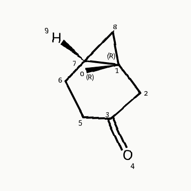 C[C@@]12CC(=O)CC[C@@H]1C2